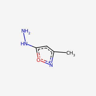 Cc1cc(NN)on1